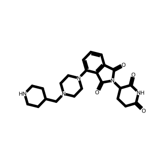 O=C1CCC(N2C(=O)c3cccc(N4CCN(CC5CCNCC5)CC4)c3C2=O)C(=O)N1